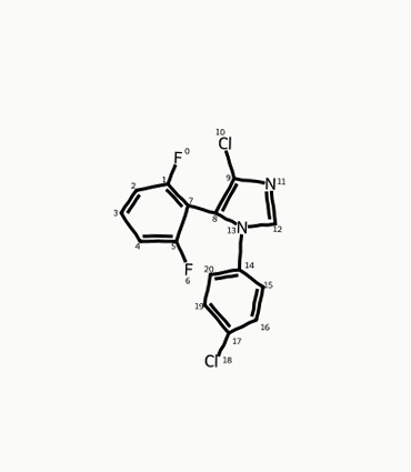 Fc1cccc(F)c1-c1c(Cl)ncn1-c1ccc(Cl)cc1